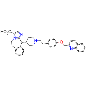 O=C(O)c1cnc2n1CCc1ccccc1C2=C1CCN(CCc2ccc(OCc3ccc4ccccc4n3)cc2)CC1